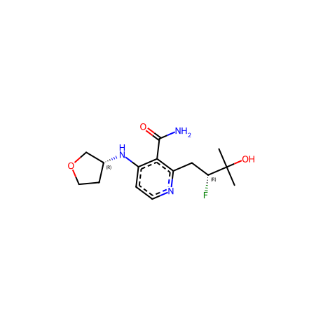 CC(C)(O)[C@H](F)Cc1nccc(N[C@@H]2CCOC2)c1C(N)=O